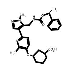 Cc1nc(-c2cnn(C)c2CNC(=O)O[C@H](C)c2ccccc2)ccc1O[C@H]1CCCC(C(=O)O)C1